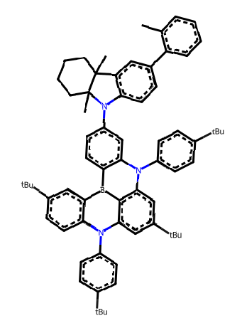 Cc1ccccc1-c1ccc2c(c1)C1(C)CCCCC1(C)N2c1ccc2c(c1)N(c1ccc(C(C)(C)C)cc1)c1cc(C(C)(C)C)cc3c1B2c1cc(C(C)(C)C)ccc1N3c1ccc(C(C)(C)C)cc1